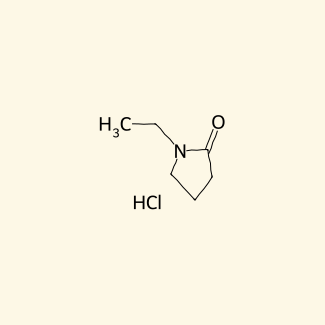 CCN1CCCC1=O.Cl